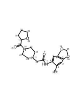 CCc1cc2c(cc1NC(=O)CN1CCN(C(=O)C3CCCO3)CC1)OCO2